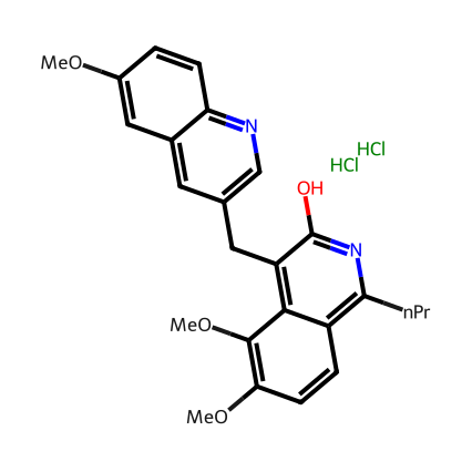 CCCc1nc(O)c(Cc2cnc3ccc(OC)cc3c2)c2c(OC)c(OC)ccc12.Cl.Cl